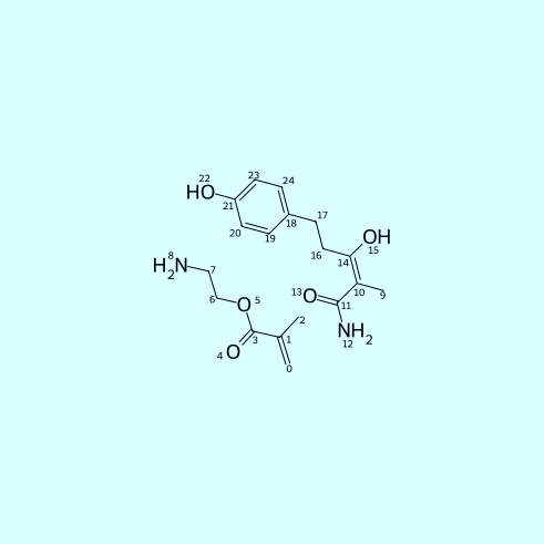 C=C(C)C(=O)OCCN.CC(C(N)=O)=C(O)CCc1ccc(O)cc1